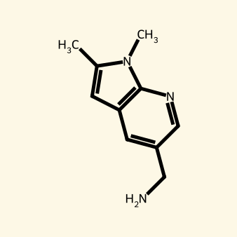 Cc1cc2cc(CN)cnc2n1C